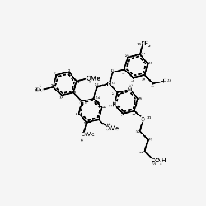 CCC(C)c1ccc(OC)c(-c2cc(OC)c(OC)cc2CN(Cc2cc(CF)cc(C(F)(F)F)c2)c2ncc(OCCCC(=O)O)cn2)c1